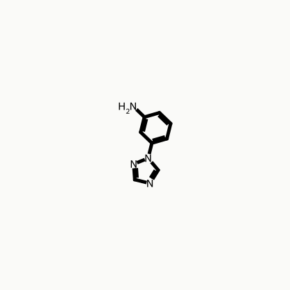 Nc1cccc(-n2cncn2)c1